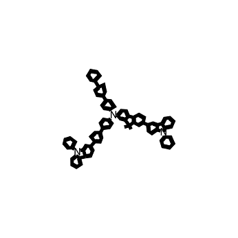 CC1(C)c2cc(-c3ccc4c(c3)c3ccccc3n4-c3ccccc3)ccc2-c2ccc(N(c3ccc(-c4ccc(-c5ccccc5)cc4)cc3)c3ccc(-c4ccc(-c5ccc6c7ccccc7n(-c7ccccc7)c6c5)cc4)cc3)cc21